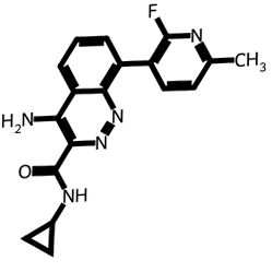 Cc1ccc(-c2cccc3c(N)c(C(=O)NC4CC4)nnc23)c(F)n1